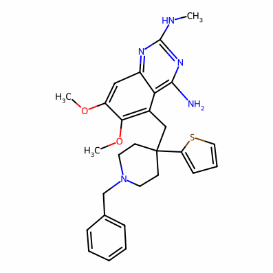 CNc1nc(N)c2c(CC3(c4cccs4)CCN(Cc4ccccc4)CC3)c(OC)c(OC)cc2n1